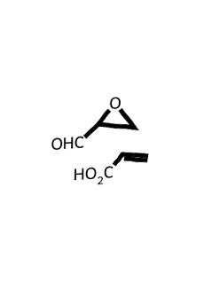 C=CC(=O)O.O=CC1CO1